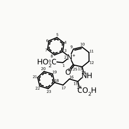 O=C(O)C[N+]1(c2ccccc2)C=CCCC(NC(CCc2ccccc2)C(=O)O)C1=O